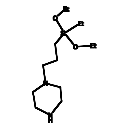 CCO[Si](CC)(CCCN1CCNCC1)OCC